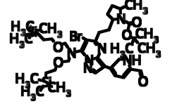 CC1CCC(CCc2nc3c(C4=CC=C(C=O)NC4)cnn3c(N(COCC[Si](C)(C)C)COCC[Si](C)(C)C)c2Br)N1C(=O)OC(C)(C)C